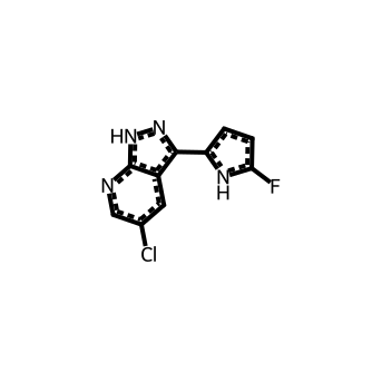 Fc1ccc(-c2n[nH]c3ncc(Cl)cc23)[nH]1